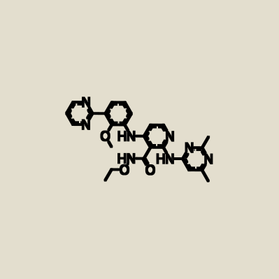 CCONC(=O)c1c(Nc2cccc(-c3ncccn3)c2OC)ccnc1Nc1cc(C)nc(C)n1